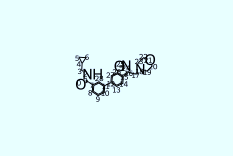 O=C(NCC1CC1)c1cccc(-c2ccc3c(CN4CCOCC4)noc3c2)c1